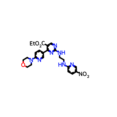 CCOC(=O)c1cnc(NCCNc2ccc([N+](=O)[O-])cn2)nc1-c1ccc(N2CCOCC2)nc1